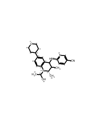 CC1C(Nc2ccc(C#N)cn2)c2cc(C3CCOCC3)ccc2N(C(C)O)[C@H]1C